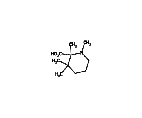 CN1CCCC(C)(C)C1(C)C(=O)O